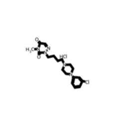 Cl.Cn1c(=O)cnn(CCCCN2CCN(c3cccc(Cl)c3)CC2)c1=O